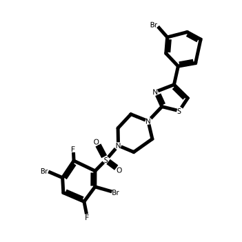 O=S(=O)(c1c(F)c(Br)cc(F)c1Br)N1CCN(c2nc(-c3cccc(Br)c3)cs2)CC1